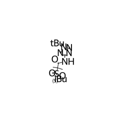 CC[C@H](C)S(=O)(=O)C(C)(C)C(=O)Nc1nnn(C(C)(C)C)n1